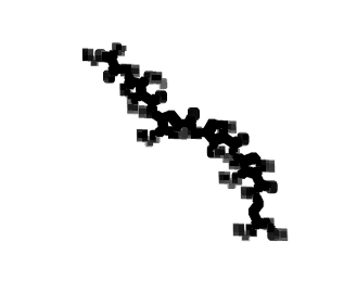 C=C(Br)C(=O)Nc1n[nH]c(C(=O)Nc2cc(C(=O)Nc3c[nH]c(C(=O)Nc4c[nH]c(C(=O)NCCC(N)=NO)c4C)c3C)[nH]c2C)c1C